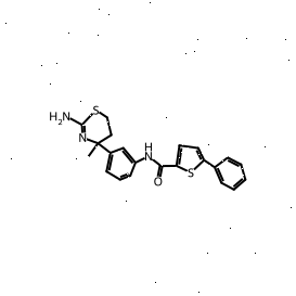 CC1(c2cccc(NC(=O)c3ccc(-c4ccccc4)s3)c2)CCSC(N)=N1